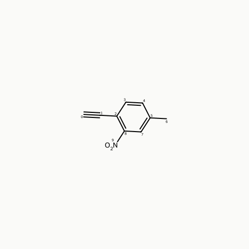 C#Cc1ccc(C)cc1[N+](=O)[O-]